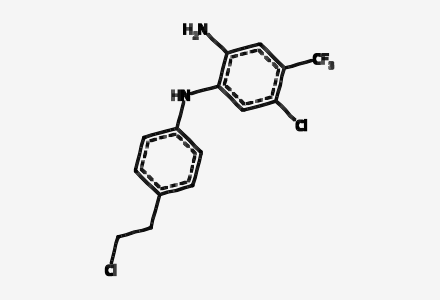 Nc1cc(C(F)(F)F)c(Cl)cc1Nc1ccc(CCCl)cc1